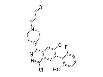 O=CC=CN1CCN(c2nnc(Cl)c3cc(-c4c(O)cccc4F)c(Cl)cc23)CC1